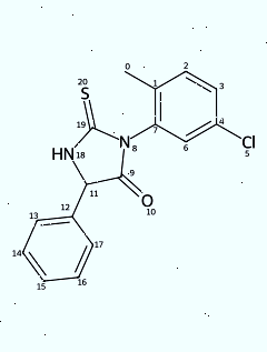 Cc1ccc(Cl)cc1N1C(=O)C(c2ccccc2)NC1=S